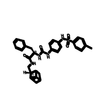 Cc1ccc(S(=O)(=O)Nc2ccc(NC(=O)N[C@H](Cc3ccccc3)C(=O)NC[C@H]3CCC4CC3C4(C)C)cc2)cc1